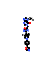 Cn1cnc2ncn(Cc3nc([C@H]4[C@@H]5CN(c6ccc(-c7cnco7)cc6)C[C@@H]54)no3)c(=O)c21